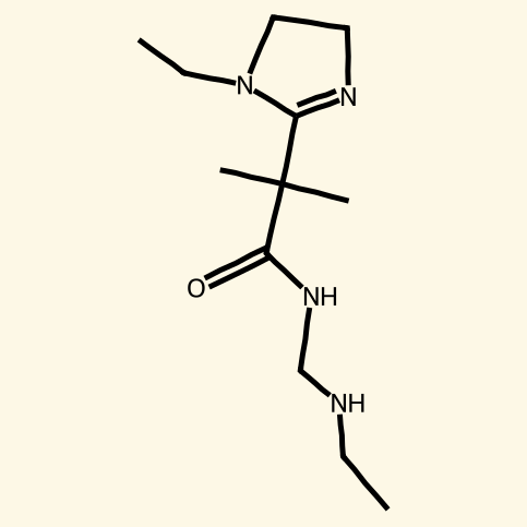 CCNCNC(=O)C(C)(C)C1=NCCN1CC